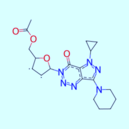 CC(=O)OCC1[CH][CH]C(n2nnc3c(N4CCCCC4)nn(C4CC4)c3c2=O)O1